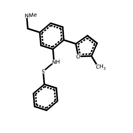 CNCc1ccc(-c2ccc(C)o2)c(NSc2ccccc2)c1